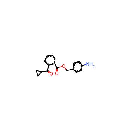 Nc1ccc(COC(=O)c2ccccc2C(=O)C2CC2)cc1